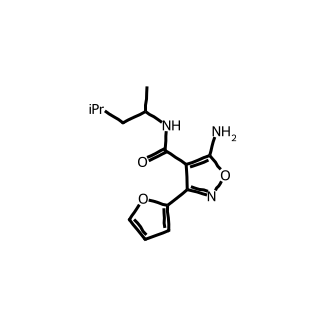 CC(C)CC(C)NC(=O)c1c(-c2ccco2)noc1N